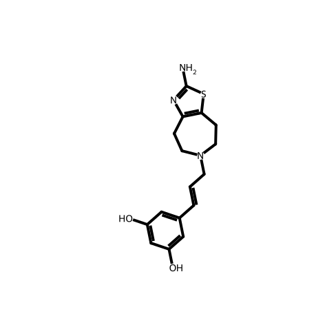 Nc1nc2c(s1)CCN(CC=Cc1cc(O)cc(O)c1)CC2